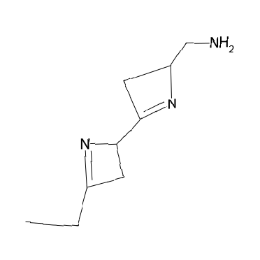 CCC1=NC(C2=NC(CN)C2)C1